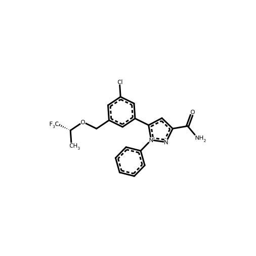 C[C@@H](OCc1cc(Cl)cc(-c2cc(C(N)=O)nn2-c2ccccc2)c1)C(F)(F)F